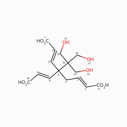 O=C(O)C=CCC(C=CC(=O)O)(C=CC(=O)O)C(CO)(CO)CO